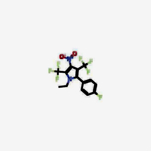 CCn1c(-c2ccc(F)cc2)c(C(F)(F)F)c([N+](=O)[O-])c1C(F)(F)F